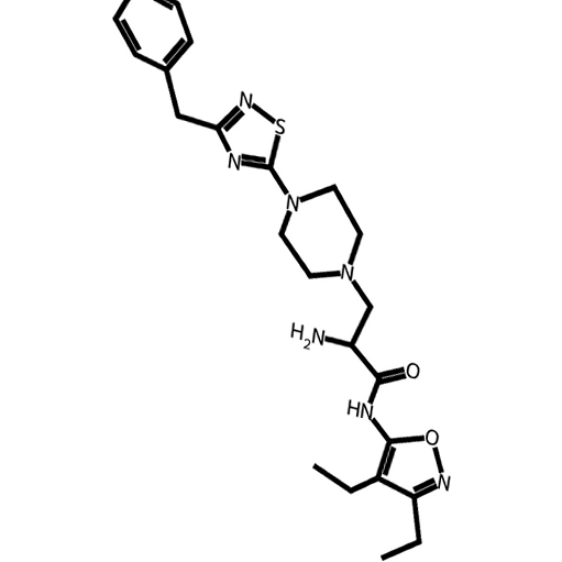 CCc1noc(NC(=O)C(N)CN2CCN(c3nc(Cc4ccccc4)ns3)CC2)c1CC